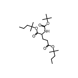 CCCC(C)(C)OC(=O)CCC(NC(=O)OC(C)(C)C)C(=O)OC(C)(C)CCC